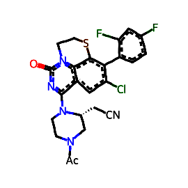 CC(=O)N1CCN(c2nc(=O)n3c4c(c(-c5ccc(F)cc5F)c(Cl)cc24)SCC3)[C@H](CC#N)C1